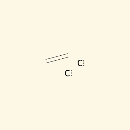 C=C.[C].[C]